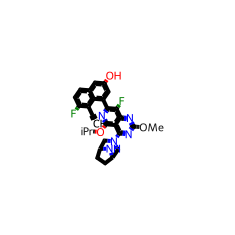 C#Cc1c(F)ccc2cc(O)cc(-c3nc(OC(C)C)c4c(N5CC6CCC(C5)N6)nc(OC)nc4c3F)c12